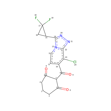 O=C1CCCC(=O)C1C(=O)c1ccn2c(C3CC3(F)F)nnc2c1Cl